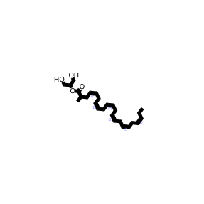 CC/C=C\C/C=C\C/C=C\C/C=C\C/C=C\C/C=C\CC(C)C(=O)OC(CO)CO